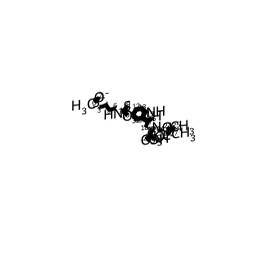 C[S+]([O-])CCCCNC(=S)Oc1ccc2[nH]cc(C[C@H](NC(=O)OC(C)(C)C)C(=O)O)c2c1